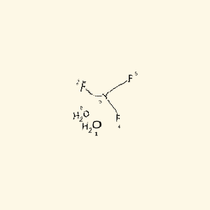 O.O.[F][Y]([F])[F]